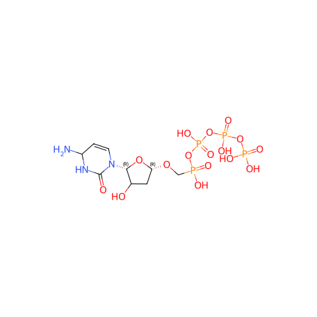 NC1C=CN([C@@H]2O[C@H](OCP(=O)(O)OP(=O)(O)OP(=O)(O)OP(=O)(O)O)CC2O)C(=O)N1